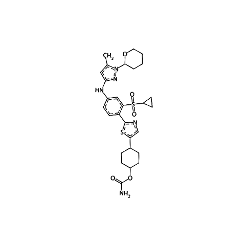 Cc1cc(Nc2ccc(-c3ncc(C4CCC(OC(N)=O)CC4)s3)c(S(=O)(=O)C3CC3)c2)nn1C1CCCCO1